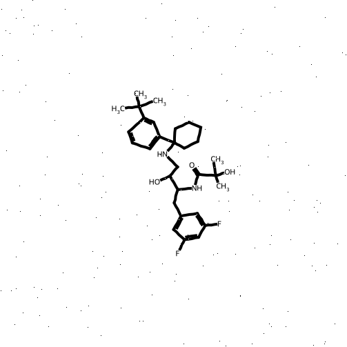 CC(C)(O)C(=O)NC(Cc1cc(F)cc(F)c1)C(O)CNC1(c2cccc(C(C)(C)C)c2)CCCCC1